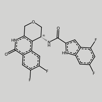 O=C(N[C@H]1COCc2[nH]c(=O)c3cc(F)c(F)cc3c21)c1cc2c(F)cc(F)cc2[nH]1